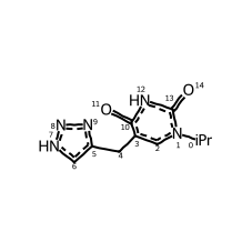 CC(C)n1cc(Cc2c[nH]nn2)c(=O)[nH]c1=O